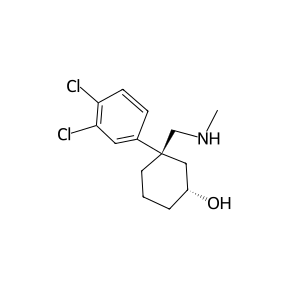 CNC[C@]1(c2ccc(Cl)c(Cl)c2)CCC[C@@H](O)C1